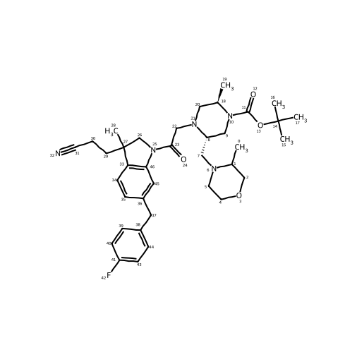 CC1COCCN1C[C@H]1CN(C(=O)OC(C)(C)C)[C@H](C)CN1CC(=O)N1CC(C)(CCC#N)c2ccc(Cc3ccc(F)cc3)cc21